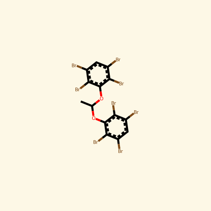 CC(Oc1c(Br)c(Br)cc(Br)c1Br)Oc1c(Br)c(Br)cc(Br)c1Br